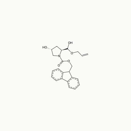 C=CCOC(O)[C@@H]1C[C@@H](O)CN1C(=O)OCC1c2ccccc2-c2ccccc21